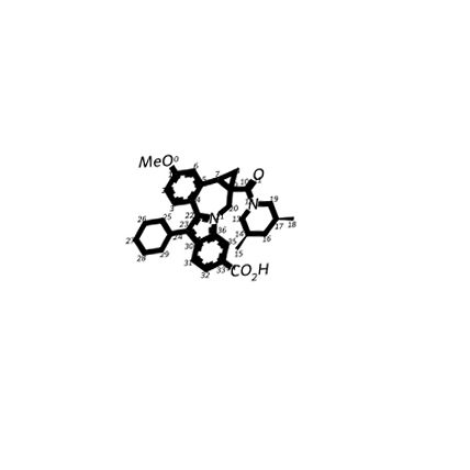 COc1ccc2c(c1)C1CC1(C(=O)N1C[C@H](C)C[C@H](C)C1)Cn1c-2c(C2CCCCC2)c2ccc(C(=O)O)cc21